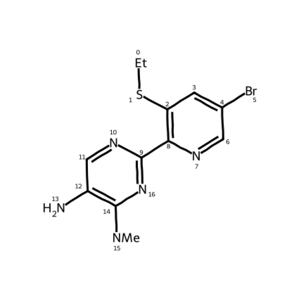 CCSc1cc(Br)cnc1-c1ncc(N)c(NC)n1